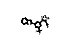 N#Cc1[nH]nnc1-c1cc(-c2cc3ccccc3s2)cc(C(F)(F)F)c1